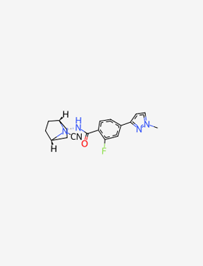 Cn1ccc(-c2ccc(C(=O)N[C@@H]3C[C@@H]4CC[C@H]3N4C#N)c(F)c2)n1